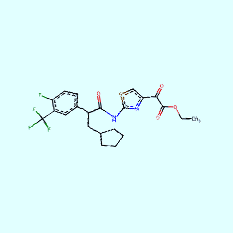 CCOC(=O)C(=O)c1csc(NC(=O)C(CC2CCCC2)c2ccc(F)c(C(F)(F)F)c2)n1